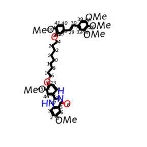 COc1ccc2c(c1)C(=O)NC(c1ccc(OCCCCCCCCCOc3cc(/C=C/c4cc(OC)c(OC)c(OC)c4)ccc3OC)c(OC)c1)N2